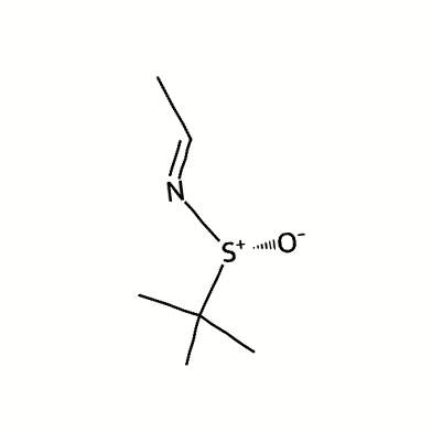 CC=N[S@+]([O-])C(C)(C)C